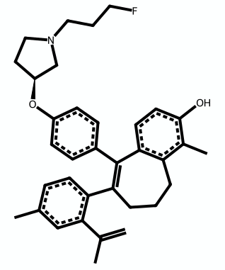 C=C(C)c1cc(C)ccc1C1=C(c2ccc(O[C@H]3CCN(CCCF)C3)cc2)c2ccc(O)c(C)c2CCC1